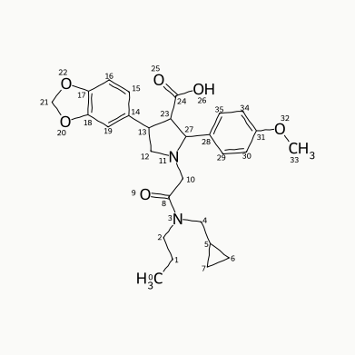 CCCN(CC1CC1)C(=O)CN1CC(c2ccc3c(c2)OCO3)C(C(=O)O)C1c1ccc(OC)cc1